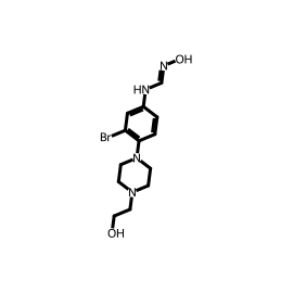 OCCN1CCN(c2ccc(N/C=N/O)cc2Br)CC1